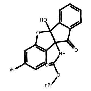 CCCOC(=O)NC12C(=O)c3ccccc3C1(O)Oc1cc(C(C)C)ccc12